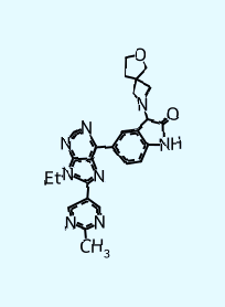 CCn1c(-c2cnc(C)nc2)nc2c(-c3ccc4c(c3)C(N3CC5(CCOC5)C3)C(=O)N4)ncnc21